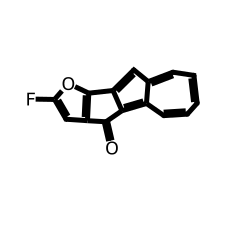 O=C1c2cc(F)oc2-c2cc3cccccc-3c21